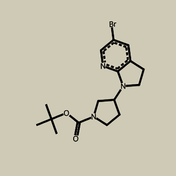 CC(C)(C)OC(=O)N1CCC(N2CCc3cc(Br)cnc32)C1